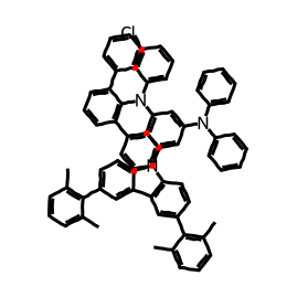 Cc1cccc(C)c1-c1ccc2c(c1)c1cc(-c3c(C)cccc3C)ccc1n2-c1cc(N(c2ccccc2)c2ccccc2)cc(N(c2cccc(Cl)c2)c2c(-c3ccccc3)cccc2-c2ccccc2)c1